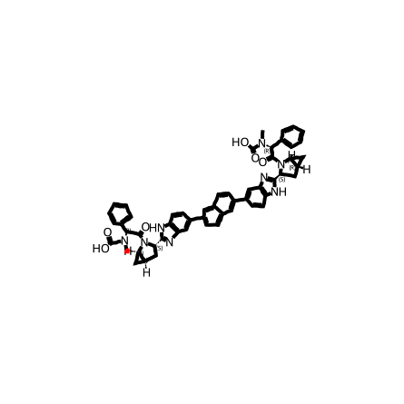 CN(C(=O)O)[C@@H](C(=O)N1[C@@H]2C[C@@H]2C[C@H]1c1nc2cc(-c3ccc4cc(-c5ccc6[nH]c([C@@H]7C[C@H]8C[C@H]8N7C(=O)[C@@H](c7ccccc7)N(C)C(=O)O)nc6c5)ccc4c3)ccc2[nH]1)c1ccccc1